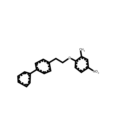 Cc1cc([N+](=O)[O-])ccc1OCCc1ccc(-c2ccccc2)cc1